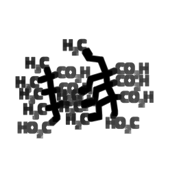 C=CCC(CC=C)(C(=O)O)C(CC=C)(C(=O)O)C(CC=C)(CC(=O)O)C(=O)O.CC(C)(C(=O)O)C(C)(C(=O)O)C(C)(CC(=O)O)C(=O)O